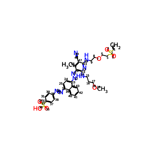 C=CS(=O)(=O)CCOCCNc1nc(NCCCOC)c(/N=N/c2ccc(/N=N/c3ccc(S(=O)(=O)O)cc3)c3ccccc23)c(C)c1C#N